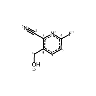 N#Cc1nc(F)ccc1CO